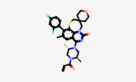 C=CC(=O)N1C[C@H](C)N(c2nc(=O)n3c4c(c(-c5ccc(F)cc5F)c(C)cc24)SCC2(CCOCC2)C3)C[C@H]1C